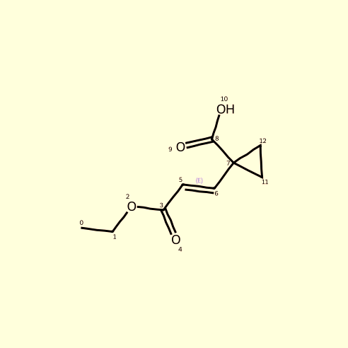 CCOC(=O)/C=C/C1(C(=O)O)CC1